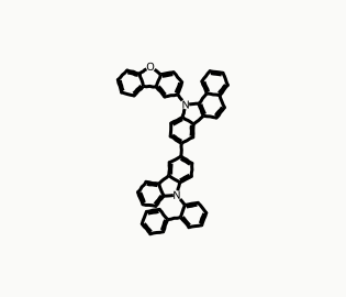 c1ccc(-c2ccccc2-n2c3ccccc3c3cc(-c4ccc5c(c4)c4ccc6ccccc6c4n5-c4ccc5oc6ccccc6c5c4)ccc32)cc1